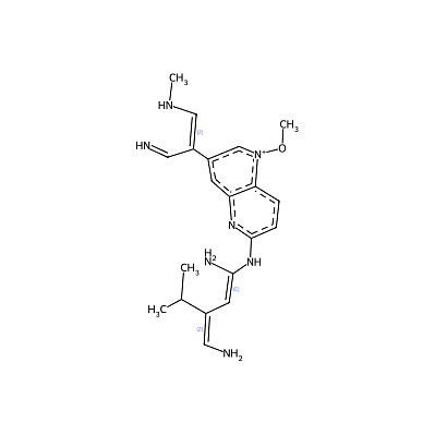 CN/C=C(\C=N)c1cc2nc(N/C(N)=C/C(=C\N)C(C)C)ccc2[n+](OC)c1